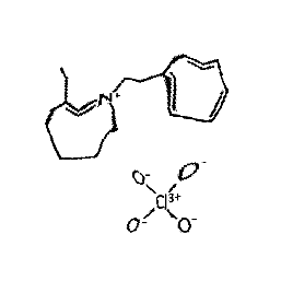 CC1=[N+](Cc2ccccc2)CCCC1.[O-][Cl+3]([O-])([O-])[O-]